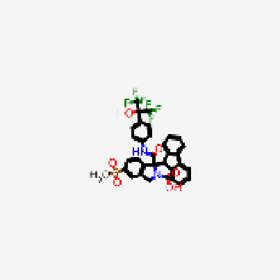 CS(=O)(=O)c1ccc2c(c1)CN(C(=O)O)C2(C(=O)Nc1ccc(C(O)(C(F)(F)F)C(F)(F)F)cc1)C1c2ccccc2-c2ccccc21